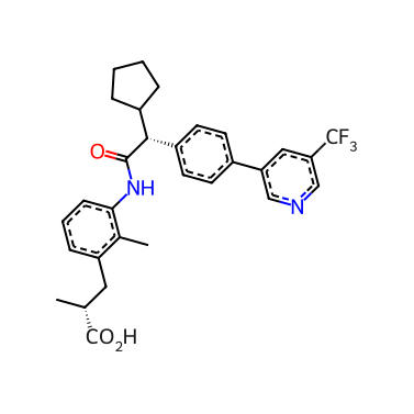 Cc1c(C[C@@H](C)C(=O)O)cccc1NC(=O)[C@@H](c1ccc(-c2cncc(C(F)(F)F)c2)cc1)C1CCCC1